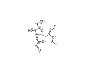 CCOC(C)OCC.O=CC(=O)O[C@H]1CO[C@H](CO)[C@@H]1O